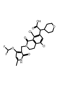 Cc1cc(OC(F)F)c(CN2CCc3c(Cl)cc(C(C(=O)O)C4CCOCC4)c(Cl)c3C2=O)c(=O)[nH]1